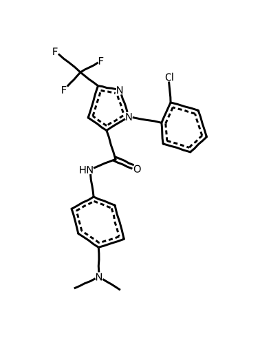 CN(C)c1ccc(NC(=O)c2cc(C(F)(F)F)nn2-c2ccccc2Cl)cc1